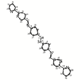 C(=Nc1ccc([Se][Se]c2ccc(N=Cc3ccc(-c4ccccn4)nc3)cc2)cc1)c1ccc(-c2ccccn2)nc1